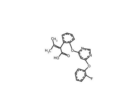 CC(C)=C(C(=O)O)c1ccccc1Oc1cc(Oc2ccccc2F)ncn1